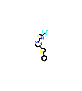 FC(F)(F)c1csc(-c2n[c]cc(-c3ccc(-c4ccccc4)s3)n2)n1